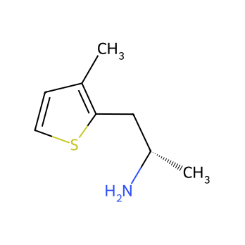 Cc1ccsc1C[C@H](C)N